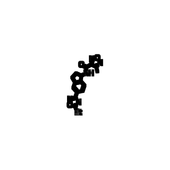 CCc1nc(-c2ccc3c(c2)CCC3NC(=O)c2nonc2C)no1